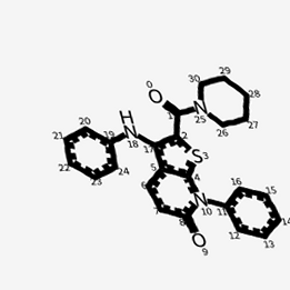 O=C(c1sc2c(ccc(=O)n2-c2ccccc2)c1Nc1ccccc1)N1CCCCC1